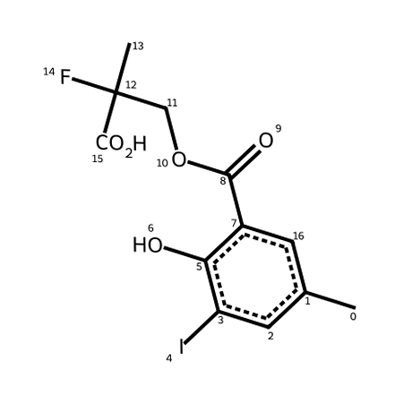 Cc1cc(I)c(O)c(C(=O)OCC(C)(F)C(=O)O)c1